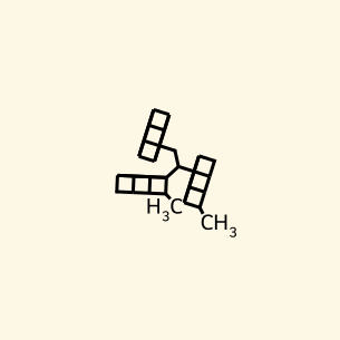 CC1C2C3CC4C1C2C34C(CC12C3C4C5C3C1C5C42)C12C(C)C3C4CC1C4C32